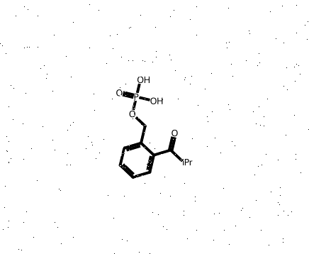 CC(C)C(=O)c1ccccc1COP(=O)(O)O